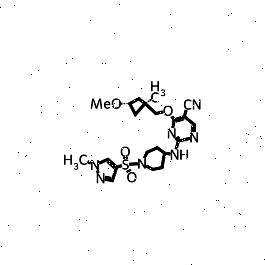 CO[C@H]1C[C@](C)(COc2nc(NC3CCN(S(=O)(=O)c4cnn(C)c4)CC3)ncc2C#N)C1